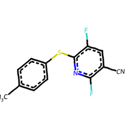 Cc1ccc(Sc2nc(F)c(C#N)cc2F)cc1